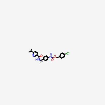 CC(C)c1ccc(C(=O)N[C@@H](C)c2ccc(NC(=O)OCc3ccc(Cl)cc3)cc2)cn1